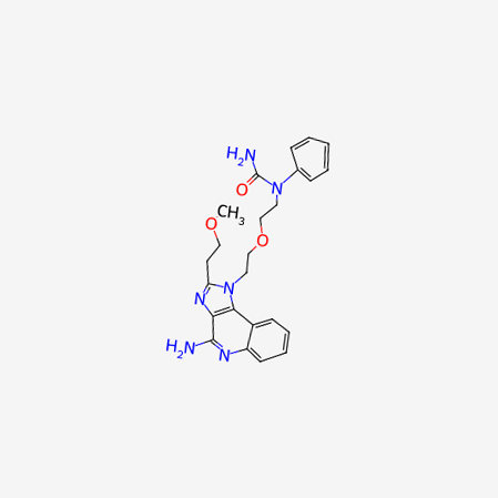 COCCc1nc2c(N)nc3ccccc3c2n1CCOCCN(C(N)=O)c1ccccc1